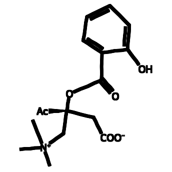 CC(=O)[C@@](CC(=O)[O-])(C[N+](C)(C)C)OC(=O)c1ccccc1O